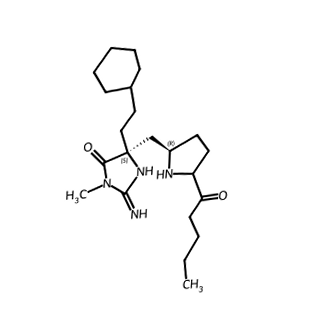 CCCCC(=O)C1CC[C@H](C[C@]2(CCC3CCCCC3)NC(=N)N(C)C2=O)N1